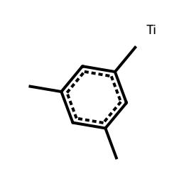 Cc1cc(C)cc(C)c1.[Ti]